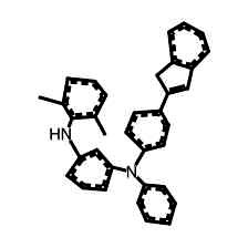 Cc1cccc(C)c1Nc1cccc(N(c2ccccc2)c2ccc(C3=Cc4ccccc4C3)cc2)c1